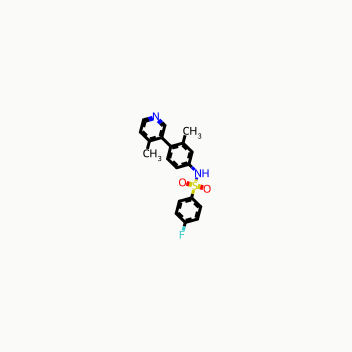 Cc1cc(NS(=O)(=O)c2ccc(F)cc2)ccc1-c1cnccc1C